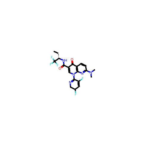 CC[C@H](NC(=O)c1cn(C2=NCC(F)C=C2F)c2nc(N(C)C)ccc2c1=O)C(F)(F)F